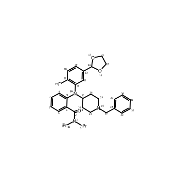 CC(C)N(C(=O)c1ccccc1N(c1cc(C2OCCO2)ccc1F)C1CCN(Cc2ccccc2)CC1)C(C)C